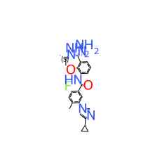 Cc1cc(F)c(C(=O)Nc2cccc3c2OC[C@H](C)N(N)/C3=N\N)cc1-n1cnc(C2CC2)c1